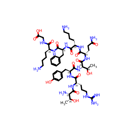 C[C@@H](O)[C@H](N)C(=O)N[C@@H](CCCNC(=N)N)C(=O)N[C@@H](Cc1ccc(O)cc1)C(=O)N[C@H](C(=O)N[C@@H](CCC(N)=O)C(=O)N[C@@H](CCCCN)C(=O)N[C@@H](Cc1ccccc1)C(=O)N[C@@H](CCCCN)C(=O)NCC(=O)O)[C@@H](C)O